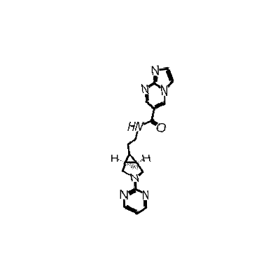 O=C(NCCC1[C@H]2CN(c3ncccn3)C[C@@H]12)c1cnc2nccn2c1